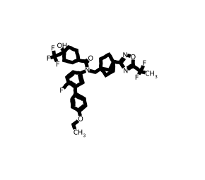 CCOc1ccc(-c2cc(N(CC34CCC(c5noc(C(C)(F)F)n5)(CC3)C4)C(=O)C3CCC(O)(C(F)(F)F)CC3)ccc2F)cc1